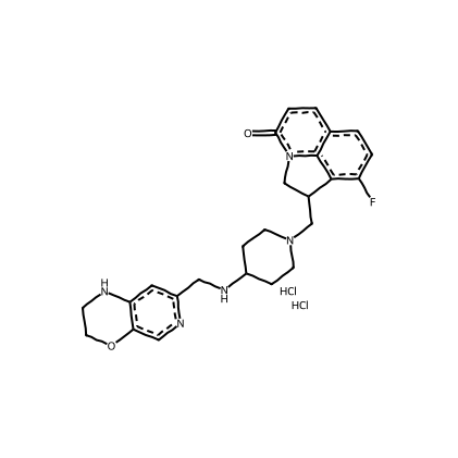 Cl.Cl.O=c1ccc2ccc(F)c3c2n1CC3CN1CCC(NCc2cc3c(cn2)OCCN3)CC1